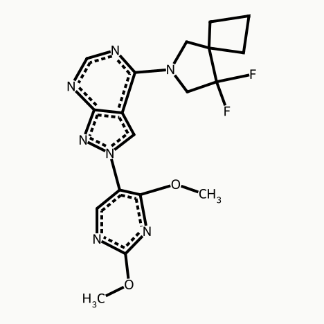 COc1ncc(-n2cc3c(N4CC(F)(F)C5(CCC5)C4)ncnc3n2)c(OC)n1